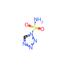 NS(=O)(=O)n1cnnn1